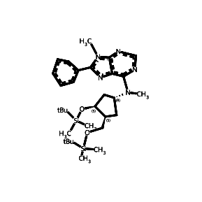 CN(c1ncnc2c1nc(-c1ccccc1)n2C)[C@@H]1C[C@@H](CO[Si](C)(C)C(C)(C)C)[C@@H](O[Si](C)(C)C(C)(C)C)C1